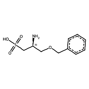 N[C@@H](COCc1ccccc1)CS(=O)(=O)O